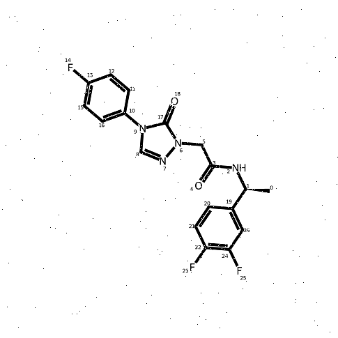 C[C@H](NC(=O)Cn1ncn(-c2ccc(F)cc2)c1=O)c1ccc(F)c(F)c1